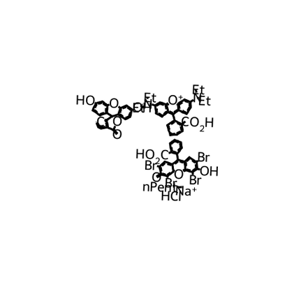 CCCCCC.CCN(CC)c1ccc2c(-c3ccccc3C(=O)O)c3ccc(N(CC)CC)cc3[o+]c2c1.Cl.O=C(O)c1ccccc1-c1c2cc(Br)c(=O)c(Br)c-2oc2c(Br)c(O)c(Br)cc12.O=C1OC2(c3ccc(O)cc3Oc3cc(O)ccc32)c2ccccc21.[Na+]